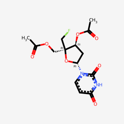 CC(=O)OC[C@@]1(CF)O[C@@H](n2ccc(=O)[nH]c2=O)C[C@@H]1OC(C)=O